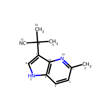 Cc1ccc2[nH]cc(C(C)(C)C#N)c2n1